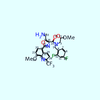 COC(=O)CN(Cc1ccc(F)cc1F)C(=O)c1nc(-c2ccc(OC)c3nc(C(F)(F)F)ccc23)oc1CN